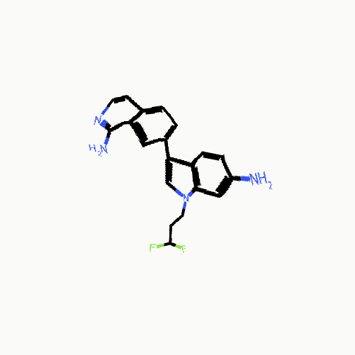 Nc1ccc2c(-c3ccc4ccnc(N)c4c3)cn(CCC(F)F)c2c1